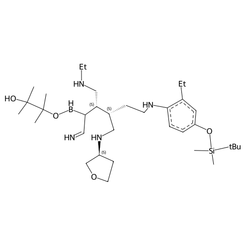 CCNC[C@@H](C(BOC(C)(C)C(C)(C)O)C=N)[C@H](CCNc1ccc(O[Si](C)(C)C(C)(C)C)cc1CC)CN[C@H]1CCOC1